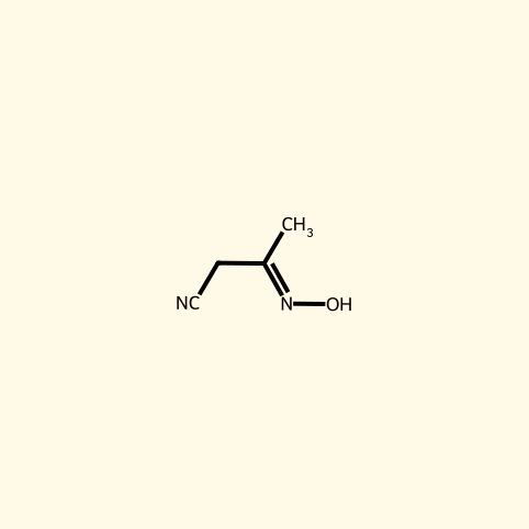 CC(CC#N)=NO